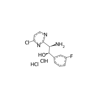 Cl.Cl.N[C@H](c1nccc(Cl)n1)[C@H](O)c1cccc(F)c1